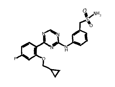 NS(=O)(=O)Cc1cccc(Nc2ncnc(-c3ccc(F)cc3OCC3CC3)n2)c1